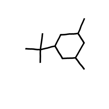 CC1CC(C)CC(C(C)(C)C)C1